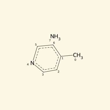 Cc1ccncc1.N